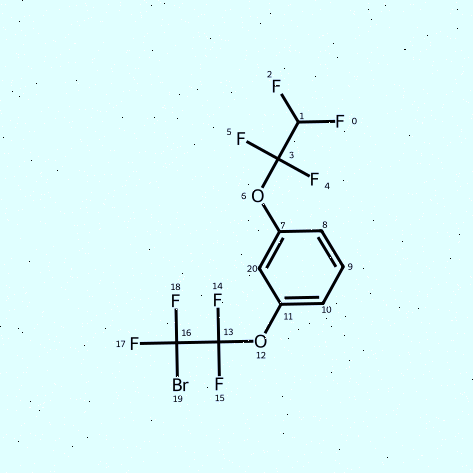 FC(F)C(F)(F)Oc1cccc(OC(F)(F)C(F)(F)Br)c1